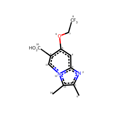 Cc1nc2cc(OCC(F)(F)F)c(C(=O)O)cn2c1C